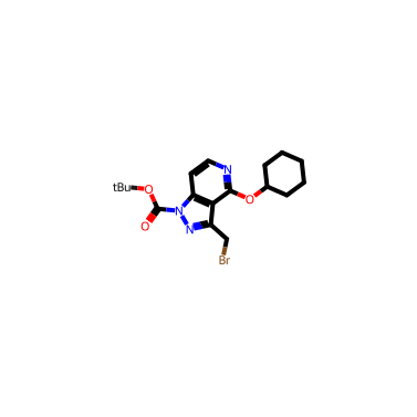 CC(C)(C)OC(=O)n1nc(CBr)c2c(OC3CCCCC3)nccc21